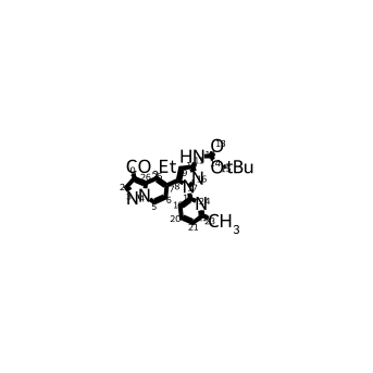 CCOC(=O)c1cnn2ccc(-c3cc(NC(=O)OC(C)(C)C)nn3-c3cccc(C)n3)cc12